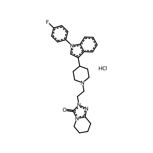 Cl.O=c1n(CCN2CCC(c3cn(-c4ccc(F)cc4)c4ccccc34)CC2)nc2n1CCCC2